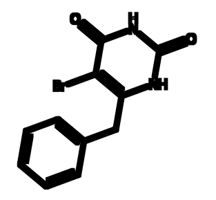 O=c1[nH]c(Cc2ccccc2)c(Br)c(=O)[nH]1